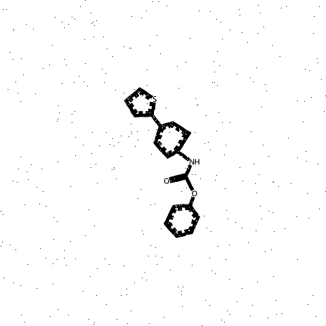 O=C(Nc1ccc(-c2cccs2)cc1)Oc1ccccc1